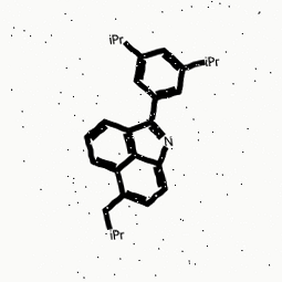 CC(C)Cc1ccc2c3c(cccc13)C(c1cc(C(C)C)cc(C(C)C)c1)=N2